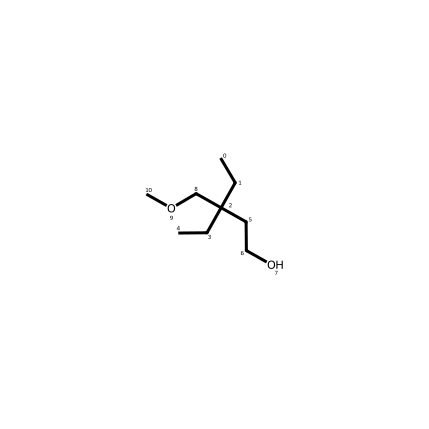 CCC(CC)(CCO)COC